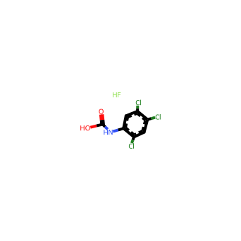 F.O=C(O)Nc1cc(Cl)c(Cl)cc1Cl